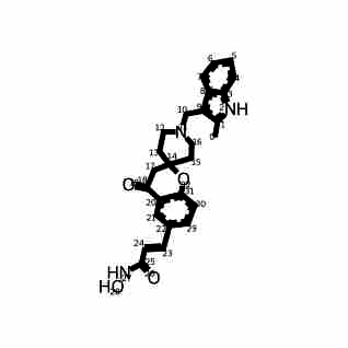 Cc1[nH]c2ccccc2c1CN1CCC2(CC1)CC(=O)c1cc(C=CC(=O)NO)ccc1O2